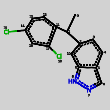 CC(c1ccc2cn[nH]c2c1)c1ccc(Cl)cc1Cl